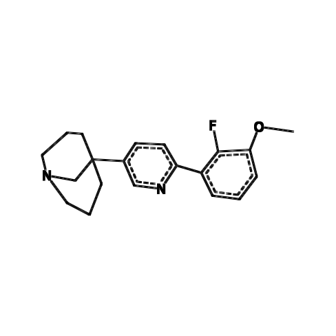 COc1cccc(-c2ccc(C34CCCN(CCC3)C4)cn2)c1F